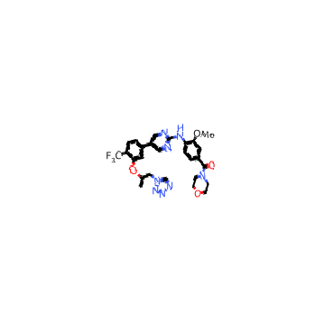 COc1cc(C(=O)N2CCOCC2)ccc1Nc1ncc(-c2ccc(C(F)(F)F)c(OC(C)Cn3cnnn3)c2)cn1